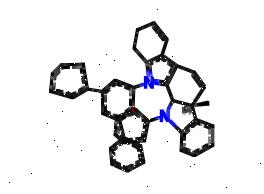 C[C@]12C=Cc3c4c(n(-c5cc(-c6ccccc6)cc(-c6ccccc6)c5)c3C1N(c1ccccc1)c1ccccc12)CCC=C4